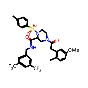 COc1ccc(C)c(CC(=O)N2CCN(S(=O)(=O)c3ccc(C)cc3)C(C(=O)NCc3cc(C(F)(F)F)cc(C(F)(F)F)c3)C2)c1